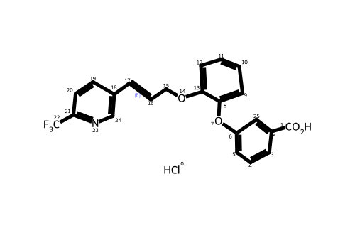 Cl.O=C(O)c1cccc(Oc2ccccc2OC/C=C/c2ccc(C(F)(F)F)nc2)c1